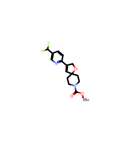 CC(C)(C)OC(=O)N1CCC2(C=C(c3ccc(C(F)F)cn3)CO2)CC1